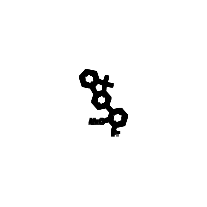 COc1c(-c2ccc3c(c2)C(C)(C)c2ccccc2-3)cccc1C(C)C